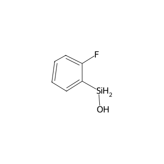 O[SiH2]c1ccccc1F